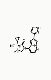 C[C@@H]1CN(c2ccnn3cc(-c4cc[nH]n4)cc23)C(=O)[C@]1(C#N)C1CC1